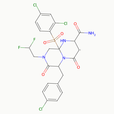 NC(=O)C1[C]C(=O)N2C(Cc3ccc(Cl)cc3)C(=O)N(CC(F)F)CC2(S(=O)(=O)c2ccc(Cl)cc2Cl)N1